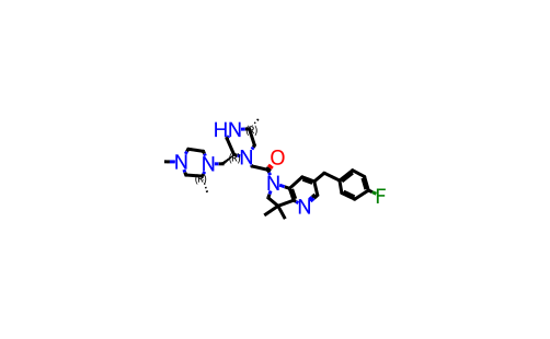 C[C@@H]1CN(CC(=O)N2CC(C)(C)c3ncc(Cc4ccc(F)cc4)cc32)[C@@H](CN2CCN(C)C[C@H]2C)CN1